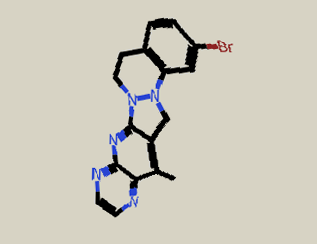 Cc1c2c(nc3nccnc13)N1CCc3ccc(Br)cc3N1C2